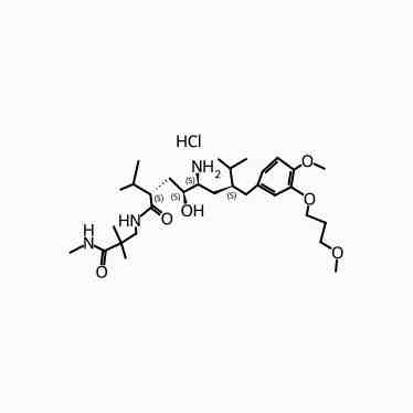 CNC(=O)C(C)(C)CNC(=O)[C@@H](C[C@H](O)[C@@H](N)C[C@H](Cc1ccc(OC)c(OCCCOC)c1)C(C)C)C(C)C.Cl